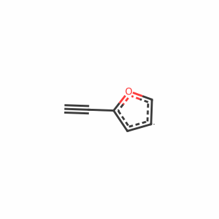 C#Cc1c[c]co1